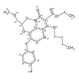 CCCCOc1c(C(=O)OCC)c(=O)n2c3c(c(Cc4ccc(F)cc4)cnc13)OC(COC)C2